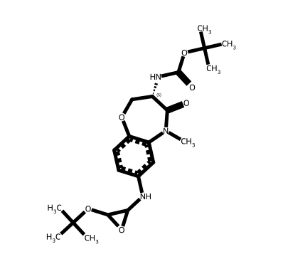 CN1C(=O)[C@@H](NC(=O)OC(C)(C)C)COc2ccc(NC3OC3OC(C)(C)C)cc21